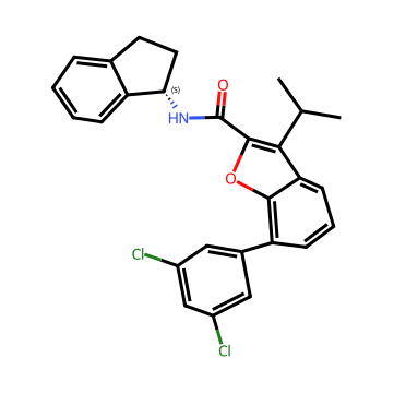 CC(C)c1c(C(=O)N[C@H]2CCc3ccccc32)oc2c(-c3cc(Cl)cc(Cl)c3)cccc12